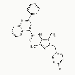 Cc1nn(Cc2ccc(F)cc2)c(C)c1NC(=O)c1cc(-c2ccccc2)nc2ccccc12